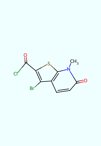 Cn1c(=O)ccc2c(Br)c(C(=O)Cl)sc21